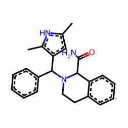 Cc1cc(C(c2ccccc2)N2CCc3c[c]ccc3C2C(N)=O)c(C)[nH]1